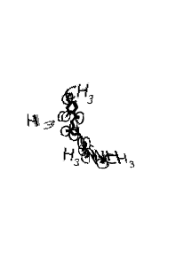 COc1ccc(C(=O)CN2CC(COS(=O)(=O)c3sc(NC(C)=O)nc3C)OC2=O)c(OC)c1